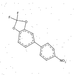 O=[N+]([O-])c1ccc(-c2[c]c3c(cc2)OC(F)(F)O3)cc1